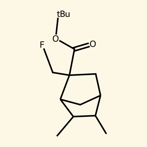 CC1C2CC(C1C)C(CF)(C(=O)OC(C)(C)C)C2